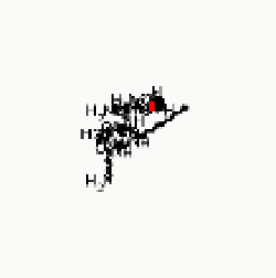 CCCCCCCCCCCC(=O)NCCC(=O)N[C@@H](CCCCN)C(=O)N[C@H](C(=O)N[C@@H](C)C(=O)N[C@@H](CC(N)=O)C(=O)N[C@@H](N)B1OC2C[C@@H]3C[C@@H](C3(C)C)[C@]2(C)O1)C(C)O